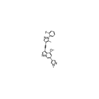 COc1cc(-c2cnn(C)c2)cn2ncc(C#Cc3cnn(-c4ccccc4F)c3C)c12